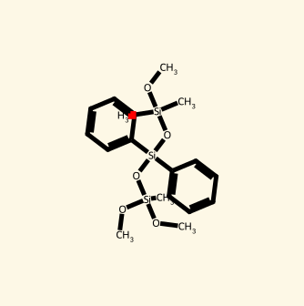 CO[Si](C)(C)O[Si](O[Si](C)(OC)OC)(c1ccccc1)c1ccccc1